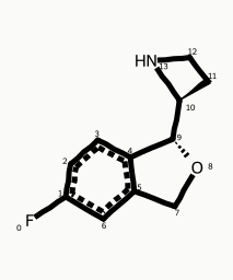 Fc1ccc2c(c1)CO[C@H]2[C@@H]1CCN1